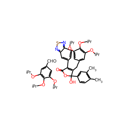 CC(C)Oc1cc(C=O)cc(OC(C)C)c1OC(C)C.Cc1ccc(C2(O)OC(=O)C(c3ccc4nsnc4c3)=C2Cc2cc(OC(C)C)c(OC(C)C)c(OC(C)C)c2)cc1C